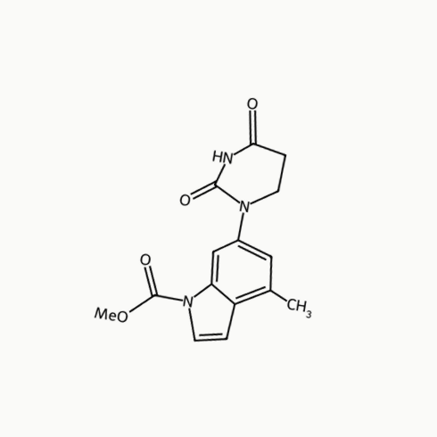 COC(=O)n1ccc2c(C)cc(N3CCC(=O)NC3=O)cc21